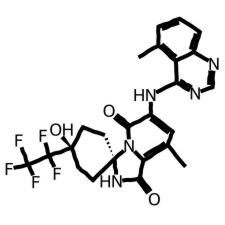 Cc1cc(Nc2ncnc3cccc(C)c23)c(=O)n2c1C(=O)N[C@]21CC[C@@](O)(C(F)(F)C(F)(F)F)CC1